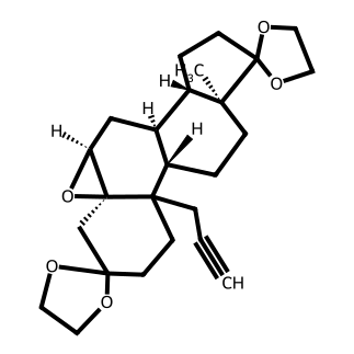 C#CCC12CCC3(C[C@@]14O[C@H]4C[C@@H]1[C@@H]2CC[C@@]2(C)[C@H]1CCC21OCCO1)OCCO3